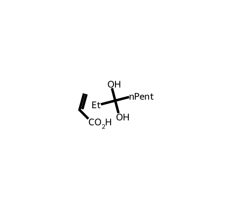 C=CC(=O)O.CCCCCC(O)(O)CC